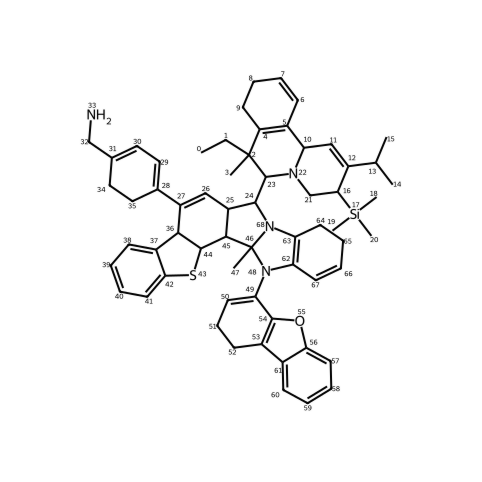 CCC1(C)C2=C(C=CCC2)C2C=C(C(C)C)C([Si](C)(C)C)CN2C1C1C2C=C(C3=CC=C(CN)CC3)C3c4ccccc4SC3C2C2(C)N(C3=CCCc4c3oc3ccccc43)C3=C(CCC=C3)N12